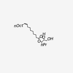 CCCCCCCC/C=C\CCCCCCCC(=O)OC(CCC)C(O)CO